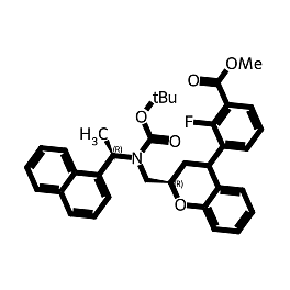 COC(=O)c1cccc(C2C[C@H](CN(C(=O)OC(C)(C)C)[C@H](C)c3cccc4ccccc34)Oc3ccccc32)c1F